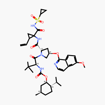 C=CC1CC1(NC(=O)[C@@H]1C[C@@H](Oc2nccc3cc(OC)ccc23)CN1C(=O)[C@@H](NC(=O)O[C@@H]1C[C@H](C)CC[C@H]1C(C)C)C(C)(C)C)C(=O)NS(=O)(=O)C1CC1